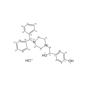 Cl.Oc1ccc(C(O)CN2CCN(C(c3ccccc3)c3ccccc3)CC2)cc1